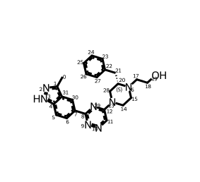 Cc1n[nH]c2ccc(-c3nncc(N4CCN(CCO)[C@@H](Cc5ccccc5)C4)n3)cc12